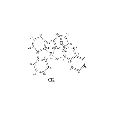 O=c1sc2ccccc2n1C[P+](c1ccccc1)(c1ccccc1)c1ccccc1.[Cl-]